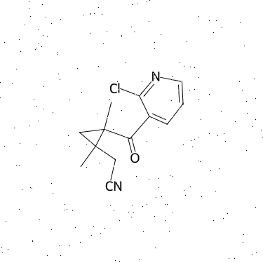 CC1(CC#N)CC1(C)C(=O)c1cccnc1Cl